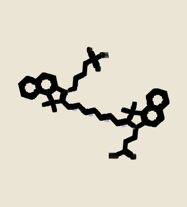 CC1(C)C(/C=C/C=C/C=C/C=C2/N(CCC(=O)O)c3ccc4ccccc4c3C2(C)C)=[N+](CCCCS(=O)(=O)O)c2ccc3ccccc3c21